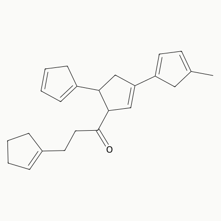 CC1=CC=C(C2=CC(C(=O)CCC3=CCCC3)C(C3=CC=CC3)C2)C1